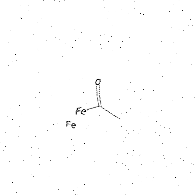 C[C](=O)[Fe].[Fe]